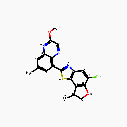 COc1cnc2c(-c3nc4cc(F)c5c(c4s3)C(C)CO5)cc(C)cc2n1